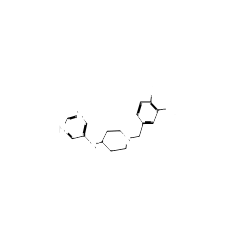 CCOc1cc(CN2CCC(Nc3cncnc3)CC2)ccc1Cl